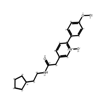 CCOc1ccc(-c2ccc(CC(=O)NCCC3CCCC3)c[n+]2[O-])cc1